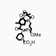 COCCCCN1C(=O)C(C)(C)S(=O)(=O)c2cc(C)c(C(=O)N(C(C)C)[C@@H]3CCCN(C(=O)O)C3)cc21